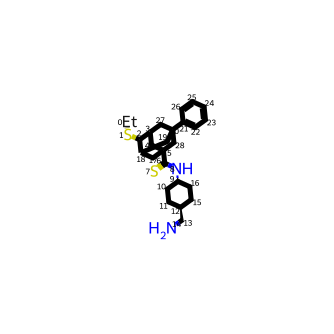 CCSC1C2CC3(C(=S)N[C@H]4CC[C@H](CN)CC4)CC1CC(c1ccccc1)(C2)C3